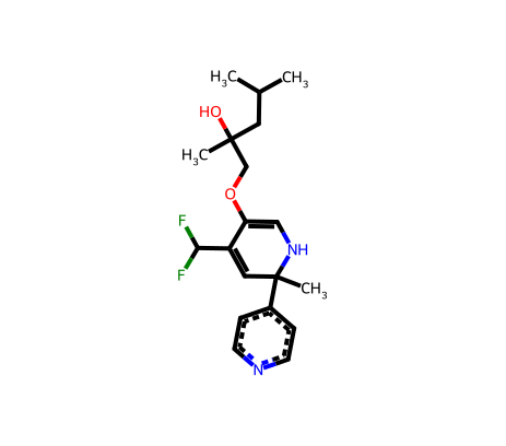 CC(C)CC(C)(O)COC1=CNC(C)(c2ccncc2)C=C1C(F)F